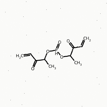 C=CC(=O)C(C)O[PH](=O)OC(C)C(=O)C=C